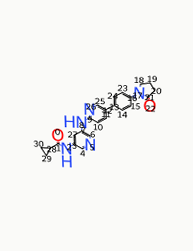 O=C(Nc1cncc(Nc2ccc(-c3ccc(N4CCCC4=O)cc3)cn2)c1)C1CC1